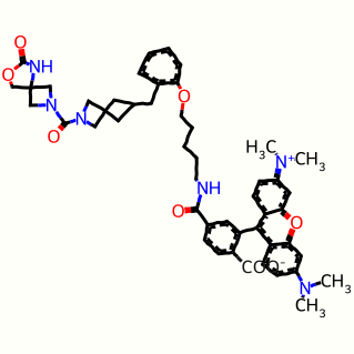 CN(C)c1ccc2c(-c3cc(C(=O)NCCCCCOc4ccccc4CC4CC5(C4)CN(C(=O)N4CC6(COC(=O)N6)C4)C5)ccc3C(=O)[O-])c3ccc(=[N+](C)C)cc-3oc2c1